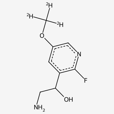 [2H]C([2H])([2H])Oc1cnc(F)c(C(O)CN)c1